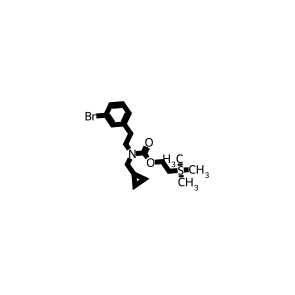 CS(C)(C)CCOC(=O)N(CCc1cccc(Br)c1)CC1CC1